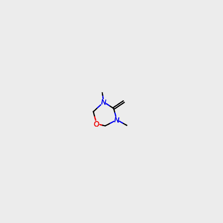 C=C1N(C)COCN1C